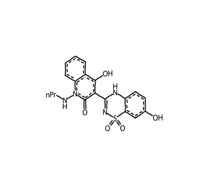 CCCNn1c(=O)c(C2=NS(=O)(=O)c3cc(O)ccc3N2)c(O)c2ccccc21